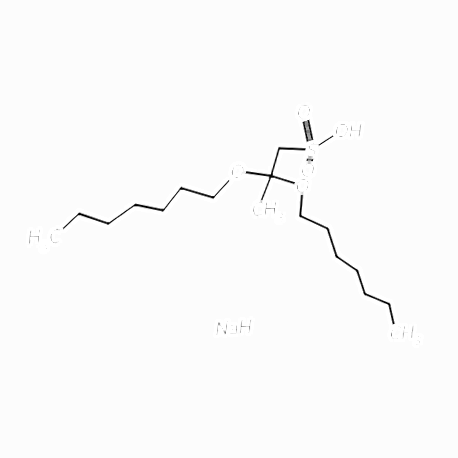 CCCCCCCOC(C)(CS(=O)(=O)O)OCCCCCCC.[NaH]